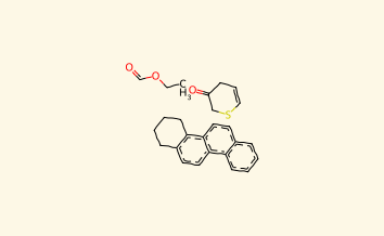 CCOC=O.O=C1CC=CSC1.c1ccc2c(c1)ccc1c3c(ccc12)CCCC3